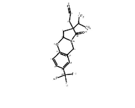 CC(C)C1(CC=O)CC2Oc3ccc(C(F)(F)F)cc3CN2C1=O